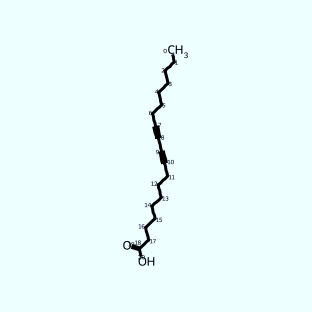 CCCCCCCC#CC#CCCCCCCCC(=O)O